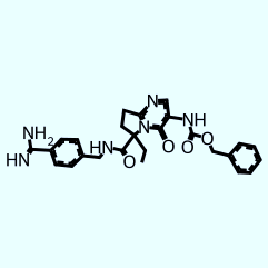 CCC1(C(=O)NCc2ccc(C(=N)N)cc2)CCc2ncc(NC(=O)OCc3ccccc3)c(=O)n21